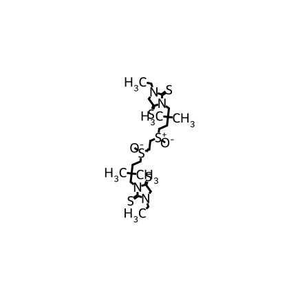 CCN1CC(=S)N(CC(C)(C)CC[S+]([O-])CC[S+]([O-])CCC(C)(C)CN2C(=S)CN(CC)C2=S)C1=S